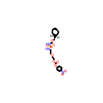 O=C(NS(=O)(=O)NCCOCCOC(=O)Oc1ccc([N+](=O)[O-])cc1)OC[C@@H]1[C@@H]2CCC#CCC[C@@H]21